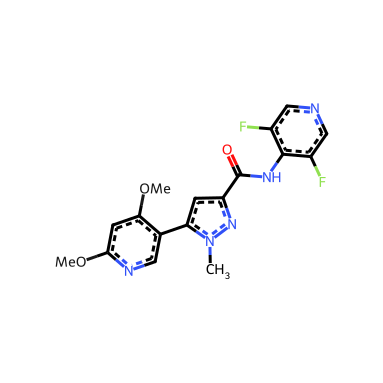 COc1cc(OC)c(-c2cc(C(=O)Nc3c(F)cncc3F)nn2C)cn1